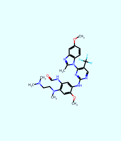 COc1ccc2c(c1)nc(C)n2-c1nc(Nc2cc(NC=O)c(N(C)CCN(C)C)cc2OC)ncc1C(F)(F)F